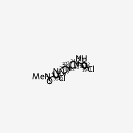 CNC(=O)c1cnc(N2CCN(C3CCN(C(=N)c4ccc(Cl)cc4)CC3)[C@@H](C)C2)c(Cl)c1